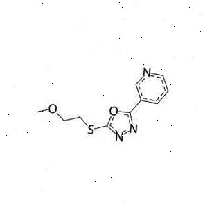 COCCSc1nnc(-c2cccnc2)o1